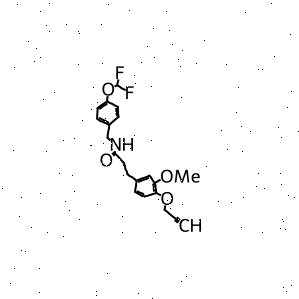 C#CCOc1ccc(CCC(=O)NCc2ccc(OC(F)F)cc2)cc1OC